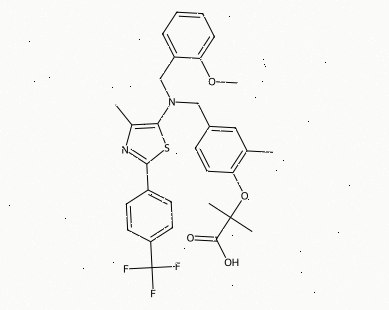 COc1ccccc1CN(Cc1ccc(OC(C)(C)C(=O)O)c(C)c1)c1sc(-c2ccc(C(F)(F)F)cc2)nc1C